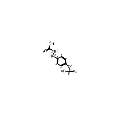 O=C(O)NNc1ccc(OC(F)(F)F)cc1